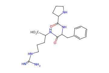 N=C(N)NCCCC(NC(=O)C(Cc1ccccc1)NC(=O)C1CCCN1)C(=O)O